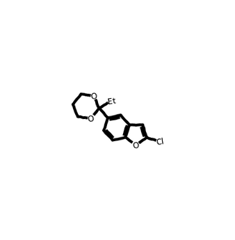 CCC1(c2ccc3oc(Cl)cc3c2)OCCCO1